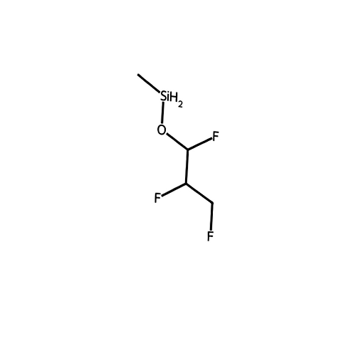 C[SiH2]OC(F)C(F)CF